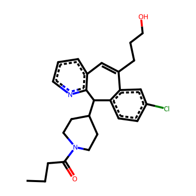 CCCC(=O)N1CCC(C2c3ccc(Cl)cc3C(CCCO)=Cc3cccnc32)CC1